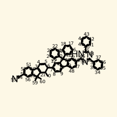 CC1C2=C(C=CC1c1ccc3c(c1)C(c1ccccc1)(c1ccccc1)c1cc(C4N=C(c5ccccc5)N=C(c5ccccc5)N4)ccc1-3)c1ccc(C#N)cc1C2(C)C